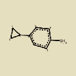 Bc1ccc(C2CC2)cc1